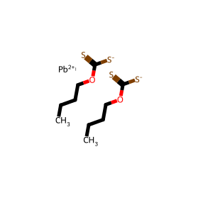 CCCCOC(=S)[S-].CCCCOC(=S)[S-].[Pb+2]